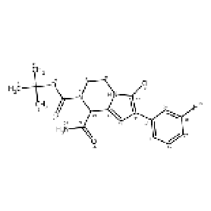 CC(C)(C)OC(=O)N1CCn2c(cc(-c3cccc(F)c3)c2Cl)C1C(N)=O